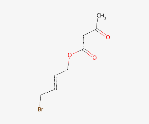 CC(=O)CC(=O)OCC=CCBr